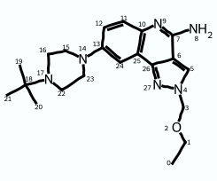 CCOCn1cc2c(N)nc3ccc(N4CCN(C(C)(C)C)CC4)cc3c2n1